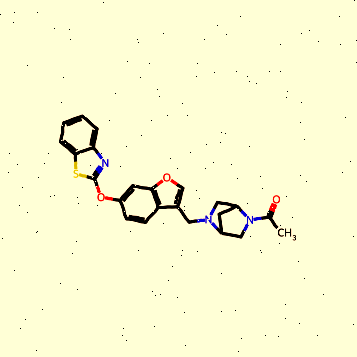 CC(=O)N1CC2CC1CN2Cc1coc2cc(Oc3nc4ccccc4s3)ccc12